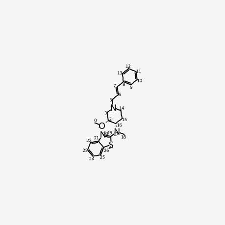 CO[C@@H]1CN(CC=Cc2ccccc2)CC[C@@H]1N(C)c1nc2ccccc2s1